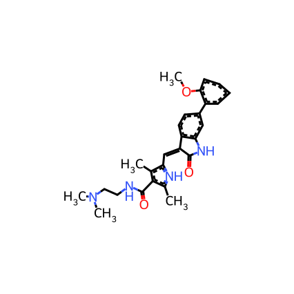 COc1ccccc1-c1ccc2c(c1)NC(=O)C2=Cc1[nH]c(C)c(C(=O)NCCN(C)C)c1C